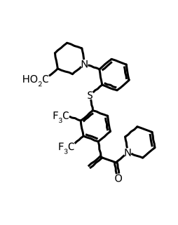 C=C(C(=O)N1CC=CCC1)c1ccc(Sc2ccccc2N2CCCC(C(=O)O)C2)c(C(F)(F)F)c1C(F)(F)F